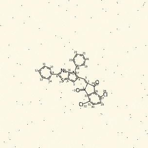 O=C1C(=Cc2cc3sc(-c4ccccc4)nc3n2-c2ccccc2)C(=O)c2c(Cl)ccc(Cl)c21